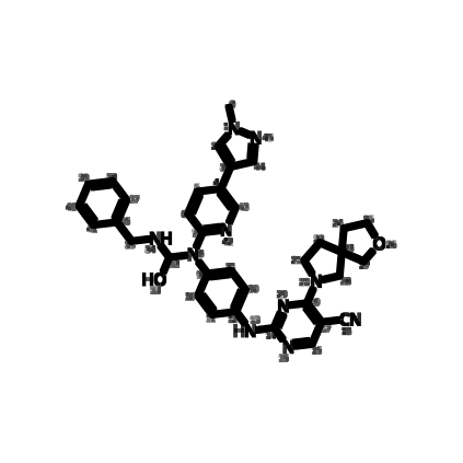 Cn1cc(-c2ccc(N(c3ccc(Nc4ncc(C#N)c(N5CCC6(CCOC6)C5)n4)cc3)C(O)NCc3ccccc3)nc2)cn1